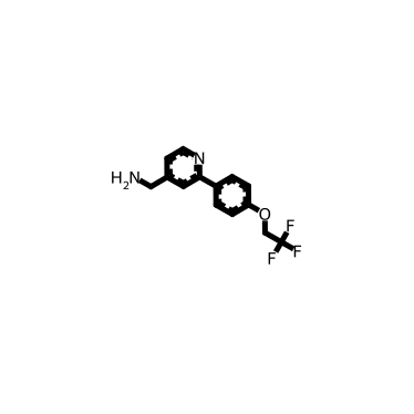 NCc1ccnc(-c2ccc(OCC(F)(F)F)cc2)c1